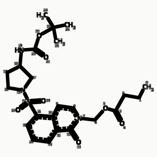 CCCC(=O)OCn1ccc2c(S(=O)(=O)N3CCC(NC(=O)OC(C)(C)C)C3)cccc2c1=O